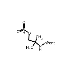 CCCCCNC(C)(C)CO[SH](=O)=O